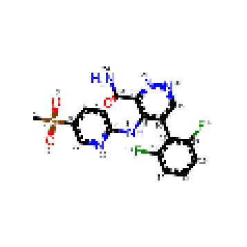 CS(=O)(=O)c1ccc(Nc2c(-c3c(F)cccc3F)cnnc2C(N)=O)nc1